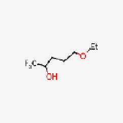 CCOCCC[C@@H](O)C(F)(F)F